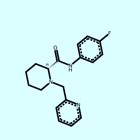 O=C(Nc1ccc(F)cc1)[C@H]1CCCCN1Cc1ccccn1